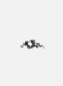 Nc1ncnc2c1ncn2[C@@H]1O[C@@H]2COP(=O)(S)O[C@@H]3[C@H](O)[C@@H](CCOP(=O)(S)O[C@H]2[C@H]1F)O[C@H]3C#Cc1ccccc1